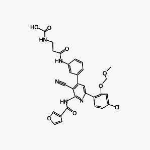 COCOc1cc(Cl)ccc1-c1cc(-c2cccc(NC(=O)CCNC(=O)O)c2)c(C#N)c(NC(=O)c2ccoc2)n1